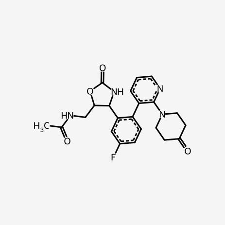 CC(=O)NCC1OC(=O)NC1c1cc(F)ccc1-c1cccnc1N1CCC(=O)CC1